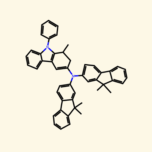 CC1CC(N(c2ccc3c(c2)C(C)(C)c2ccccc2-3)c2ccc3c(c2)C(C)(C)c2ccccc2-3)=Cc2c1n(-c1ccccc1)c1ccccc21